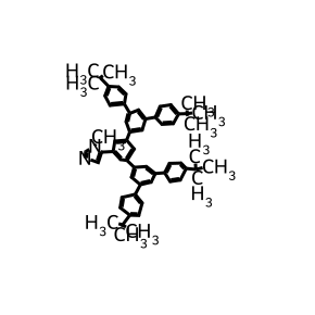 Cn1cncc1-c1cc(-c2cc(-c3ccc(C(C)(C)C)cc3)cc(-c3ccc(C(C)(C)C)cc3)c2)cc(-c2cc(-c3ccc(C(C)(C)C)cc3)cc(-c3ccc(C(C)(C)C)cc3)c2)c1